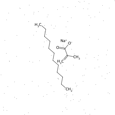 C=C(C)C(=O)[O-].[CH2]CCCCCCCCCCC.[Na+]